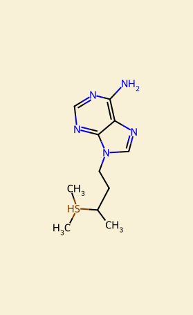 CC(CCn1cnc2c(N)ncnc21)[SH](C)C